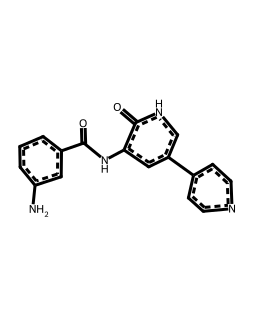 Nc1cccc(C(=O)Nc2cc(-c3ccncc3)c[nH]c2=O)c1